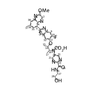 COc1cnc2c(-c3nc4cc(F)c(OC(C)C(C)N(C(=O)O)c5cnc(C(=O)NCCO)nc5)cc4s3)cc(C)cc2n1